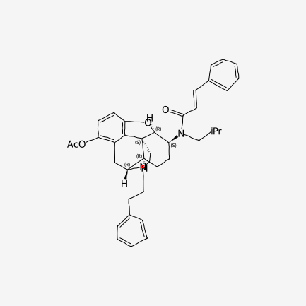 CC(=O)Oc1ccc2c3c1C[C@@H]1[C@@H]4CC[C@H](N(CC(C)C)C(=O)C=Cc5ccccc5)[C@H](O2)[C@]34CCN1CCc1ccccc1